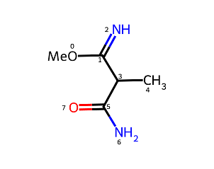 COC(=N)C(C)C(N)=O